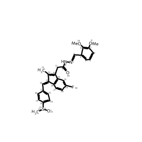 COc1cccc(/C=N/NC(=O)CC2=C(C)/C(=C/c3ccc([S+](C)[O-])cc3)c3ccc(F)cc32)c1OC